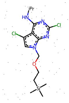 CC(C)Nc1nc(Cl)nc2c1c(Cl)cn2COCC[Si](C)(C)C